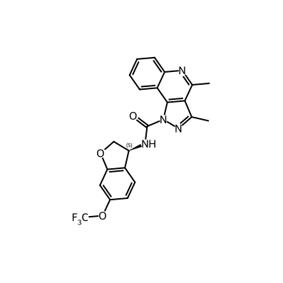 Cc1nc2ccccc2c2c1c(C)nn2C(=O)N[C@@H]1COc2cc(OC(F)(F)F)ccc21